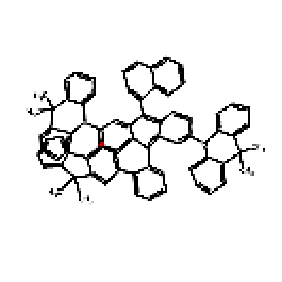 CC1(C)c2ccccc2-c2ccc(-c3ccccc3-c3c4cc(N5c6ccccc6C(C)(C)c6ccccc65)ccc4c(-c4cccc5ccccc45)c4cc(N5c6ccccc6C(C)(C)c6ccccc65)ccc34)cc21